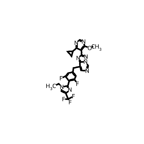 CCn1cc(C(F)(F)F)nc1-c1c(F)cc(Cc2cncn3nc(-c4c(OC)ncnc4C4CC4)nc23)cc1F